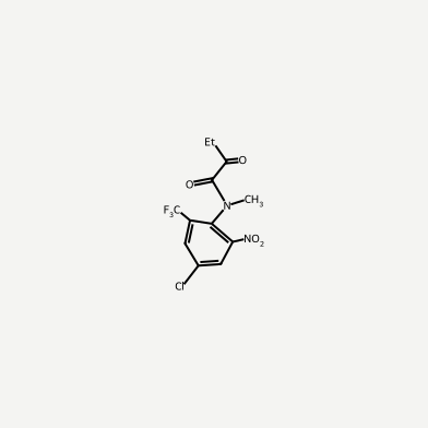 CCC(=O)C(=O)N(C)c1c([N+](=O)[O-])cc(Cl)cc1C(F)(F)F